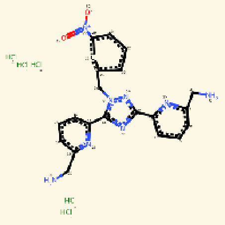 Cl.Cl.Cl.Cl.Cl.NCc1cccc(-c2nc(-c3cccc(CN)n3)n(Cc3cccc([N+](=O)[O-])c3)n2)n1